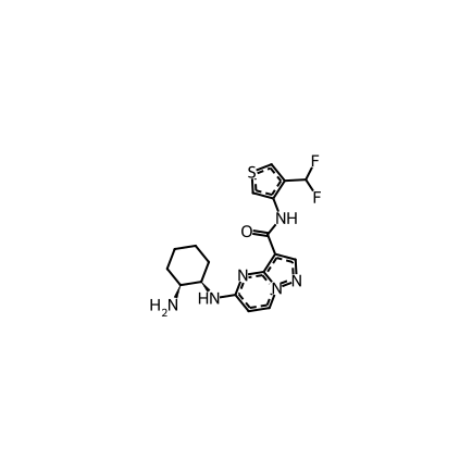 N[C@H]1CCCC[C@H]1Nc1ccn2ncc(C(=O)Nc3cscc3C(F)F)c2n1